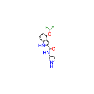 O=C(NC1CCNC1)c1cc2c(OC(F)F)cccc2[nH]1